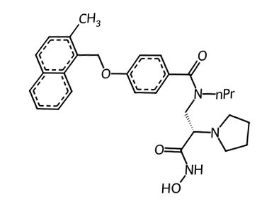 CCCN(C[C@@H](C(=O)NO)N1CCCC1)C(=O)c1ccc(OCc2c(C)ccc3ccccc23)cc1